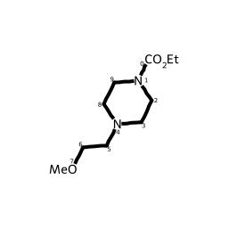 CCOC(=O)N1CCN(CCOC)CC1